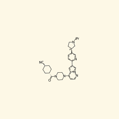 CC(C)N1CC[C@H](c2ccc(-c3cc4c(N5CCN(C(=O)[C@H]6CC[C@H](C#N)CC6)CC5)ccnn4c3)nc2)C1